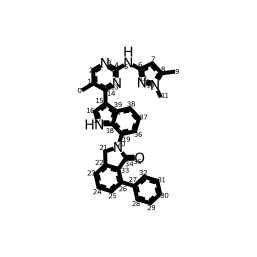 Cc1cnc(Nc2cc(C)n(C)n2)nc1-c1c[nH]c2c(N3Cc4cccc(-c5ccccc5)c4C3=O)cccc12